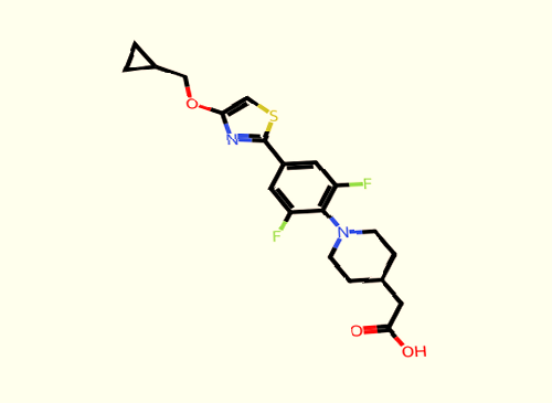 O=C(O)CC1CCN(c2c(F)cc(-c3nc(OCC4CC4)cs3)cc2F)CC1